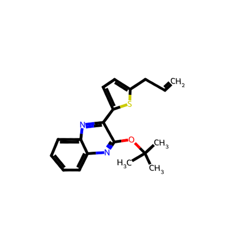 C=CCc1ccc(-c2nc3ccccc3nc2OC(C)(C)C)s1